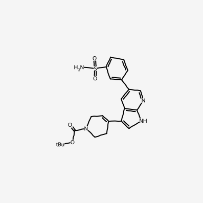 CC(C)(C)OC(=O)N1CC=C(c2c[nH]c3ncc(-c4cccc(S(N)(=O)=O)c4)cc23)CC1